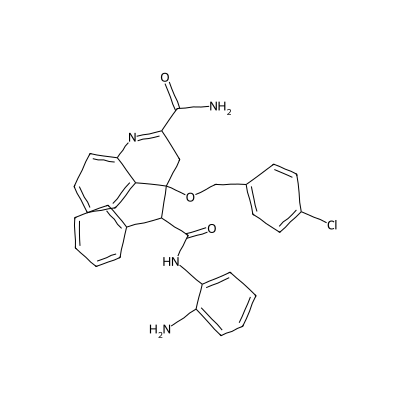 NC(=O)C1=Nc2ccccc2C(OCc2ccc(Cl)cc2)(C(C(=O)Nc2ccccc2N)c2ccccc2)C1